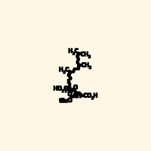 CC(C)=CCCC(C)=CCCC(C)=CCSC[C@H](NC(=O)C(CCC(=O)O)NC(=O)OC(C)(C)C)C(=O)O